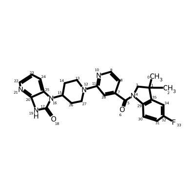 CC1(C)CN(C(=O)c2ccnc(N3CCC(n4c(=O)[nH]c5ncccc54)CC3)c2)c2ccc(F)cc21